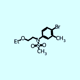 CCOCCN(c1ccc(Br)c(C)c1)S(C)(=O)=O